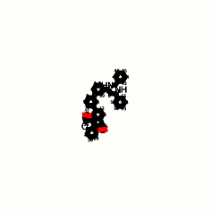 C1=C(c2cccc(-c3cccc(-c4ccc5c(c4)C4(c6ccccc6Oc6ccccc64)c4ccccc4-5)c3)c2)NC(c2ccccc2)NC1c1ccccc1